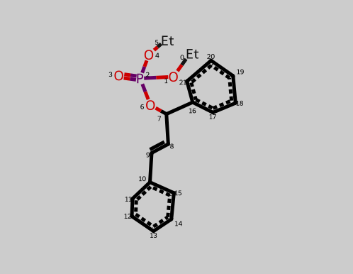 CCOP(=O)(OCC)OC(C=Cc1ccccc1)c1ccccc1